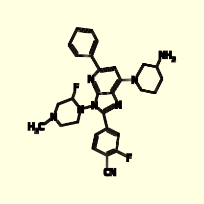 CN1CCN(n2c(-c3ccc(C#N)c(F)c3)nc3c(N4CCCC(N)C4)cc(-c4ccccc4)nc32)C(F)C1